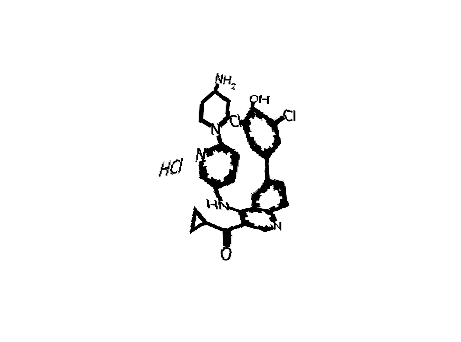 Cl.NC1CCN(c2ccc(Nc3c(C(=O)C4CC4)cnc4ccc(-c5cc(Cl)c(O)c(Cl)c5)cc34)cn2)CC1